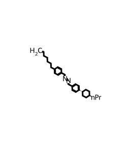 C=CCCCCCc1ccc(C=NN=Cc2ccc([C@H]3CC[C@H](CCC)CC3)cc2)cc1